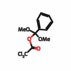 COC(OC)(OC(=O)C(Cl)(Cl)Cl)c1ccccc1